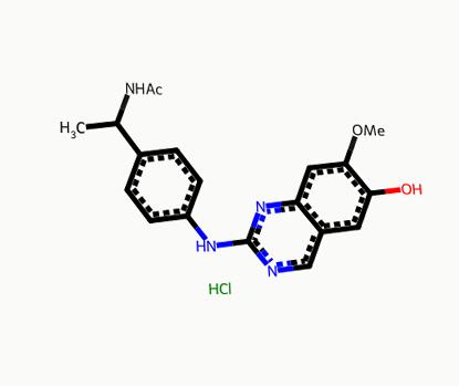 COc1cc2nc(Nc3ccc(C(C)NC(C)=O)cc3)ncc2cc1O.Cl